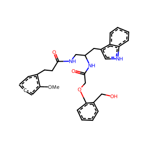 COc1ccccc1CCC(=O)NCC(Cc1c[nH]c2ccccc12)NC(=O)COc1ccccc1CO